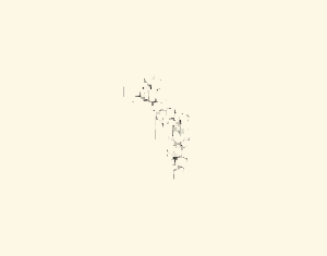 COc1ncccc1-c1cc2c(cc1Cl)NCC(C(=O)N1CCC(C#N)(Cc3ccc(F)cc3)CC1)O2